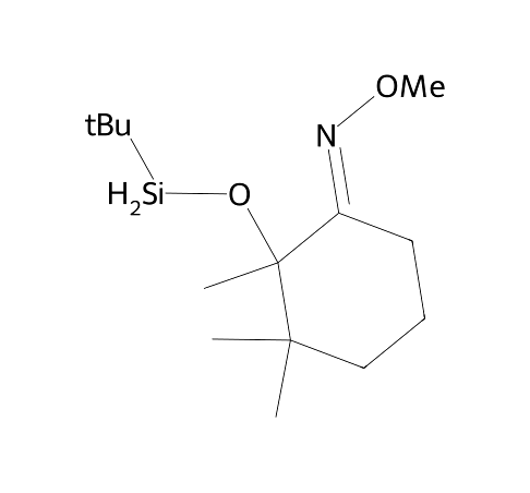 CON=C1CCCC(C)(C)C1(C)O[SiH2]C(C)(C)C